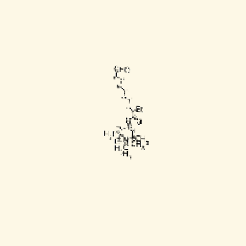 CCC(CCCCCCCC=O)C(=O)OC1CC(C)(C)N(C)C(C)(C)C1